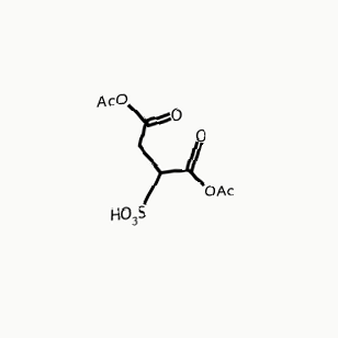 CC(=O)OC(=O)CC(C(=O)OC(C)=O)S(=O)(=O)O